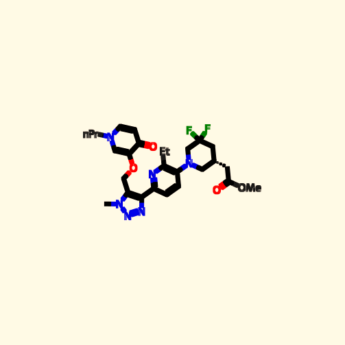 CCCn1ccc(=O)c(OCc2c(-c3ccc(N4C[C@@H](CC(=O)OC)CC(F)(F)C4)c(CC)n3)nnn2C)c1